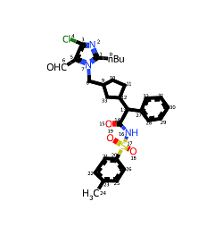 CCCCc1nc(Cl)c(C=O)n1CC1CCC(C(C(=O)NS(=O)(=O)c2ccc(C)cc2)c2ccccc2)C1